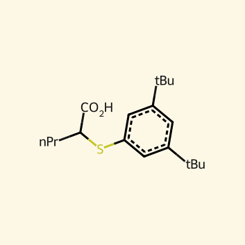 CCCC(Sc1cc(C(C)(C)C)cc(C(C)(C)C)c1)C(=O)O